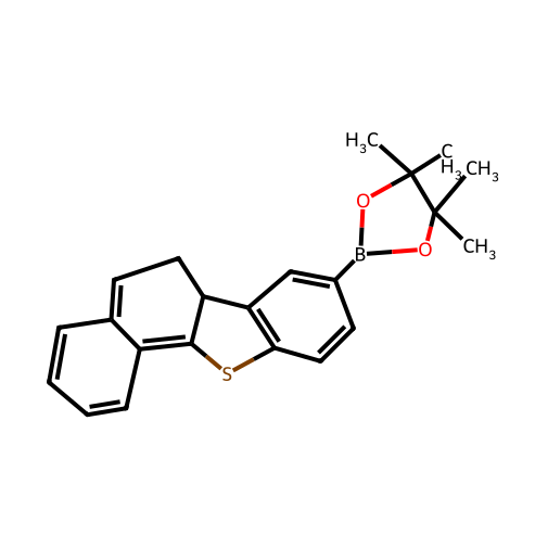 CC1(C)OB(c2ccc3c(c2)C2CC=c4ccccc4=C2S3)OC1(C)C